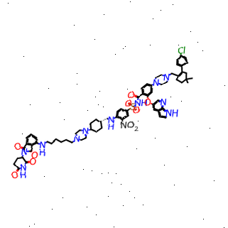 CC1(C)CCC(CN2CCN(c3ccc(C(=O)NS(=O)(=O)c4ccc(NC[C@H]5CC[C@H](N6CCN(CCCCCCNc7cccc8c7C(=O)N(C7CCC(=O)NC7=O)C8=O)CC6)CC5)c([N+](=O)[O-])c4)c(Oc4cnc5[nH]ccc5c4)c3)CC2)=C(c2ccc(Cl)cc2)C1